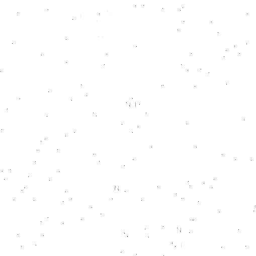 O=C(Oc1cccc(CCNCc2ccc(-c3nc4ccnc(-c5cn[nH]c5)c4cc3-c3ccccc3)cc2)c1)C(F)(F)F